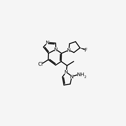 CC(c1cc(Cl)c2cncn2c1N1CC[C@@H](F)C1)N1C=CCN1N